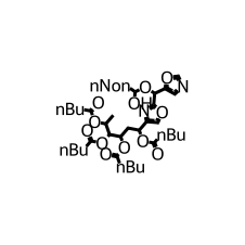 CCCCCCCCCC(O)OC(c1cnco1)c1nc(C(CC(OC(=O)CCCC)C(OC(=O)CCCC)C(C)OC(=O)CCCC)OC(=O)CCCC)co1